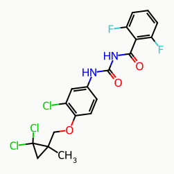 CC1(COc2ccc(NC(=O)NC(=O)c3c(F)cccc3F)cc2Cl)CC1(Cl)Cl